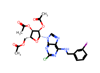 CC(=O)OC[C@H]1O[C@@H](n2cnc3c(NCc4cccc(I)c4)nc(Cl)nc32)[C@H](OC(C)=O)[C@@H]1OC(C)=O